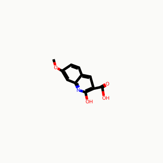 COc1ccc2cc(C(=O)O)c(O)nc2c1